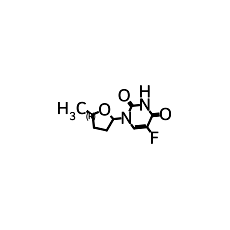 C[C@@H]1CCC(n2cc(F)c(=O)[nH]c2=O)O1